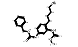 CC(C)(C)OC(=O)Nc1cc(NC(=O)OCc2ccccc2)ccc1CCCCO